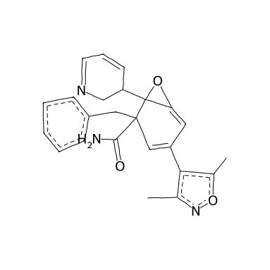 Cc1noc(C)c1C1=CC(Cc2ccccc2)(C(N)=O)C2(C3C=CC=NC3)OC2=C1